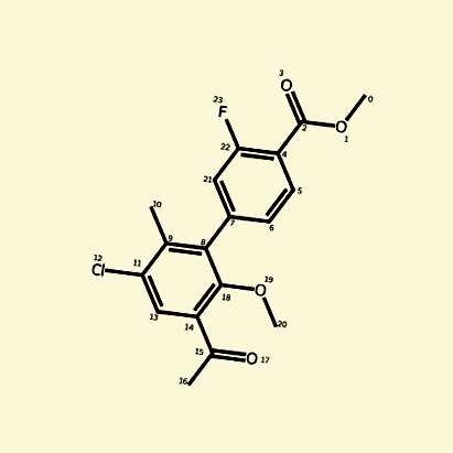 COC(=O)c1ccc(-c2c(C)c(Cl)cc(C(C)=O)c2OC)cc1F